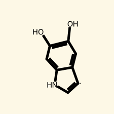 Oc1cc2[c]c[nH]c2cc1O